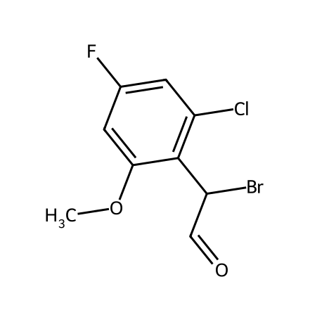 COc1cc(F)cc(Cl)c1C(Br)C=O